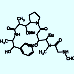 CCC(C)C(C(CC(=O)N1CCCC1C(OC)C(C)C(=O)NC(C)C(O)c1ccccc1)OC)N(C)C(=O)CNC=O